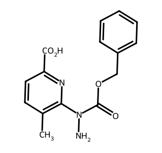 Cc1ccc(C(=O)O)nc1N(N)C(=O)OCc1ccccc1